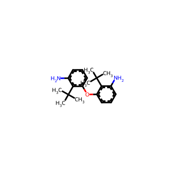 CC(C)(C)c1c(N)cccc1Oc1cccc(N)c1C(C)(C)C